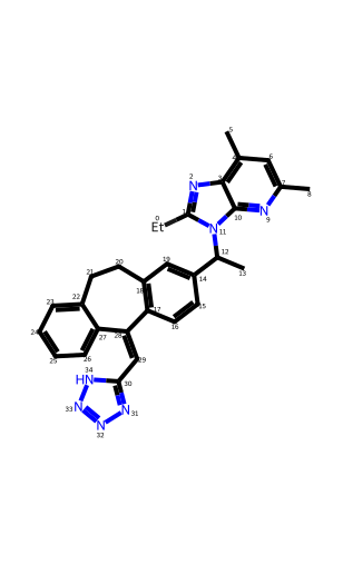 CCc1nc2c(C)cc(C)nc2n1C(C)c1ccc2c(c1)CCc1ccccc1/C2=C\c1nnn[nH]1